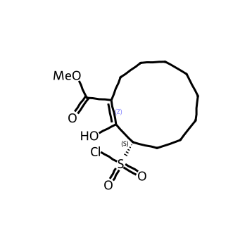 COC(=O)/C1=C(\O)[C@@H](S(=O)(=O)Cl)CCCCCCCC1